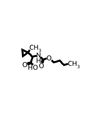 CCCCOC(=O)NC(C(=O)O)C1(C)CC1